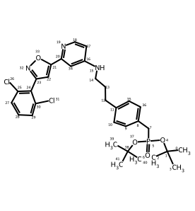 CC(C)(C)OP(=O)(Cc1ccc(CCCNc2ccnc(-c3cc(-c4c(Cl)cccc4Cl)no3)c2)cc1)OC(C)(C)C